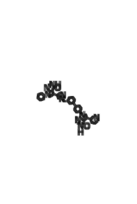 O=c1[nH]cnc2c1c(-c1cccnc1)cn2-c1ccc(-c2cccc(Cn3cc(-c4cn(-c5ccccc5)c5nc[nH]c(=O)c45)cn3)c2)cc1